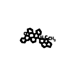 CC1(C)c2cccc3ccc4cc(-c5c6ccccc6c(-c6cccc7oc8c9ccccc9ccc8c67)c6ccccc56)cc1c4c23